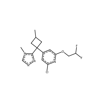 CC1CC(c2cc(Cl)nc(OCC(F)F)c2)(c2nncn2C)C1